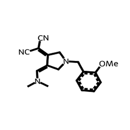 COc1ccccc1CN1CC(=CN(C)C)C(=C(C#N)C#N)C1